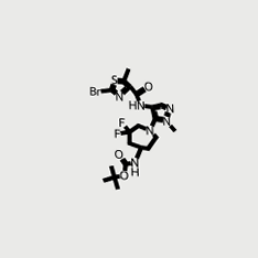 Cc1sc(Br)nc1C(=O)Nc1cnn(C)c1N1CCC(NC(=O)OC(C)(C)C)CC(F)(F)C1